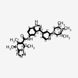 CC1=C(C(=O)Nc2ccc3[nH]nc(-c4ccnc(N5C[C@@H](C)N(C)[C@@H](C)C5)c4)c3c2)[C@@H](C)n2nnnc2N1C